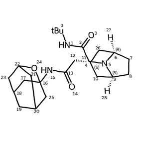 CC(C)(C)NC(=O)CN1[C@@H]2CC[C@H]1C[C@H](CC(=O)NC13CC4CC(CC(C4)O1)C3)C2